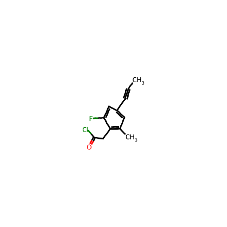 CC#Cc1cc(C)c(CC(=O)Cl)c(F)c1